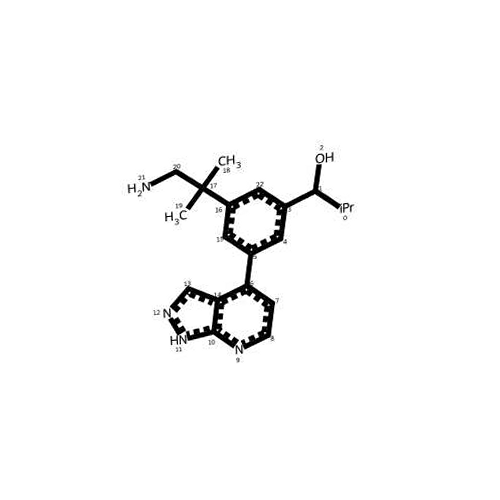 CC(C)C(O)c1cc(-c2ccnc3[nH]ncc23)cc(C(C)(C)CN)c1